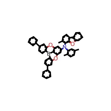 Cc1ccc(C)c(N(c2cc3c4c(c2)Oc2cc(-c5ccccc5)ccc2B4c2ccc(-c4ccccc4)cc2O3)c2c(C)ccc3c2oc2ccccc23)c1